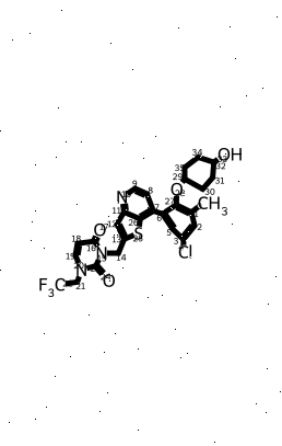 Cc1cc(Cl)cc(-c2ccnc3cc(Cn4c(=O)ccn(CC(F)(F)F)c4=O)sc23)c1OC1CCC(O)CC1